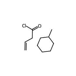 C=CCC(=O)Cl.CC1CCCCC1